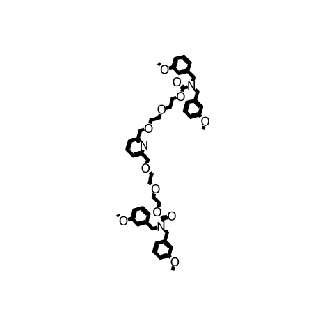 COc1cccc(CN(Cc2cccc(OC)c2)C(=O)OCCOCCOCc2cccc(COCCOCCOC(=O)N(Cc3cccc(OC)c3)Cc3cccc(OC)c3)n2)c1